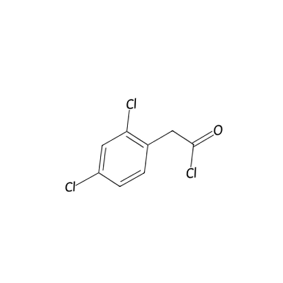 O=C(Cl)Cc1ccc(Cl)cc1Cl